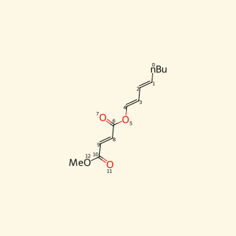 CCCCC=CC=COC(=O)C=CC(=O)OC